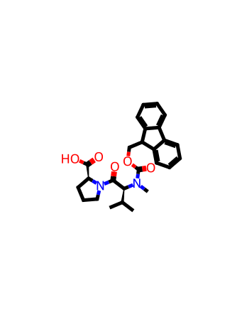 CC(C)[C@@H](C(=O)N1CCC[C@H]1C(=O)O)N(C)C(=O)OCC1c2ccccc2-c2ccccc21